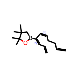 C=C/C=C(\C=C/CCC=C)B1CC(C)(C)C(C)(C)O1